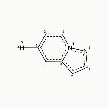 [2H]c1ccn2nccc2c1